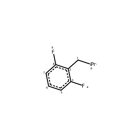 C[C](C)Cc1c(F)cccc1F